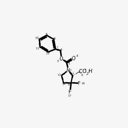 O=C(O)[C@H]1N(C(=O)OCc2ccccc2)CCC1(F)F